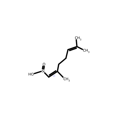 CC(C)=CCC/C(C)=C\[Si](=O)O